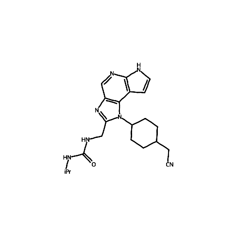 CC(C)NC(=O)NCc1nc2cnc3[nH]ccc3c2n1C1CCC(CC#N)CC1